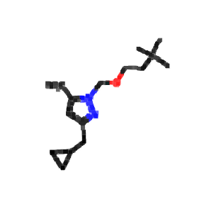 CCOC(=O)c1cc(CC2CC2)nn1COCC[Si](C)(C)C